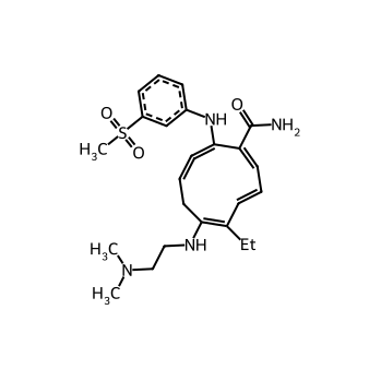 CCC1=C(/NCCN(C)C)CC=C=C(Nc2cccc(S(C)(=O)=O)c2)\C(C(N)=O)=C/C=C/1